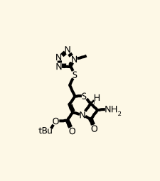 Cn1nnnc1SCC1C=C(C(=O)OC(C)(C)C)N2C(=O)C(N)[C@H]2S1